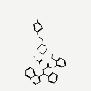 COC(=O)N[C@H](C(=O)Nc1ccccc1CC[C@@H]1CNC[C@@H](CSc2ccc(Cl)cc2)O1)C(c1ccccc1)c1ccnc2ccccc12